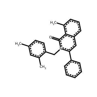 Cc1ccc(Cn2c(-c3ccccc3)cc3cccc(C)c3c2=O)c(C)c1